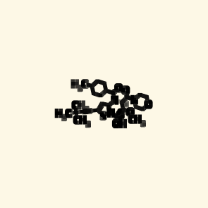 CO[C@H](C)[C@@H](C(=O)N1CCOCC1)N(C(=O)C1CCC(C)CC1)c1cc(C#CC(C)(C)C)sc1C(=O)O